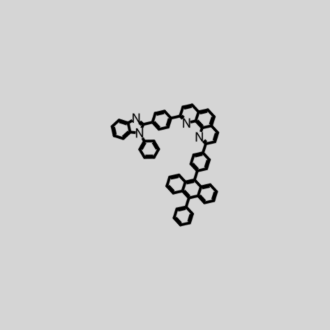 c1ccc(-c2c3ccccc3c(-c3ccc(-c4ccc5ccc6ccc(-c7ccc(-c8nc9ccccc9n8-c8ccccc8)cc7)nc6c5n4)cc3)c3ccccc23)cc1